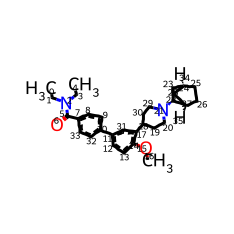 CCN(CC)C(=O)c1ccc(-c2ccc(OC)c(C3CCN([C@H]4C[C@H]5CC[C@H]4C5)CC3)c2)cc1